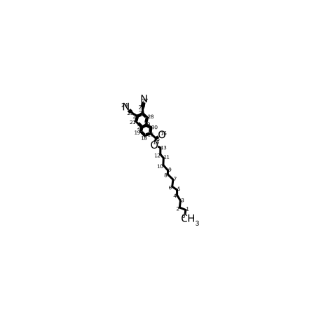 CCCCCCCCCCCCCCOC(=O)c1ccc2cc(C#N)c(C#N)cc2c1